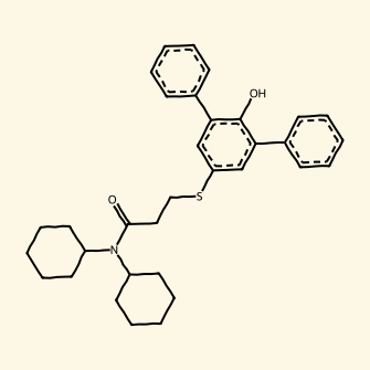 O=C(CCSc1cc(-c2ccccc2)c(O)c(-c2ccccc2)c1)N(C1CCCCC1)C1CCCCC1